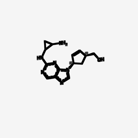 NC1CC1Nc1ncc2ncn([C@H]3C=C[C@@H](CO)C3)c2n1